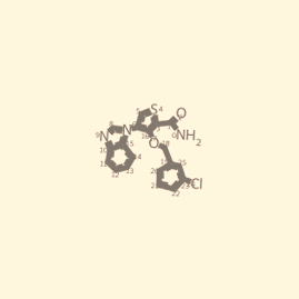 NC(=O)c1scc(-n2cnc3ccccc32)c1OCc1cccc(Cl)c1